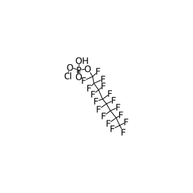 O=P(O)(OCl)OC(F)(F)C(F)(F)C(F)(F)C(F)(F)C(F)(F)C(F)(F)C(F)(F)C(F)(F)F